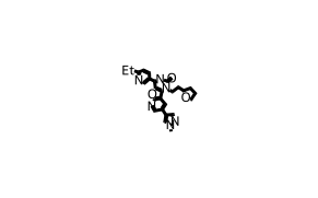 CCc1ccc(-c2nc(=O)n(CCC3CCCO3)c3c2oc2ncc(-c4cnn(C)c4)cc23)cn1